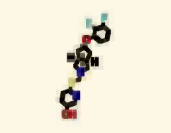 Oc1ccc(SCN2C[C@H]3C[C@H](Oc4cccc(F)c4F)C[C@H]3C2)nc1